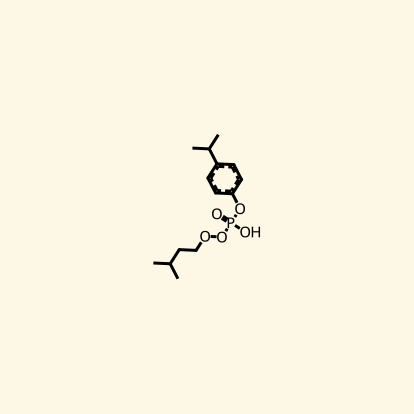 CC(C)CCOOP(=O)(O)Oc1ccc(C(C)C)cc1